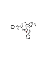 CCC(c1ccc(OC)nc1)N1C(=O)[C@](C)(SC(=S)Oc2ccccc2)N(C)C(=O)C1(CCC#N)SC(=S)Oc1ccccc1